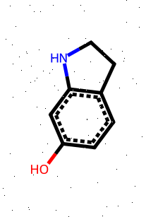 Oc1ccc2c(c1)NCC2